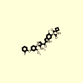 Cc1cc(Oc2ccccc2F)ccc1-n1ncc(C(=O)c2cc3cc(F)c(N4C(=O)NC5(CCC5)C4=O)cc3[nH]2)c1N